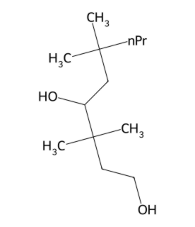 CCCC(C)(C)CC(O)C(C)(C)CCO